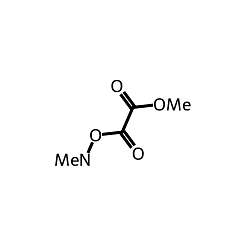 CNOC(=O)C(=O)OC